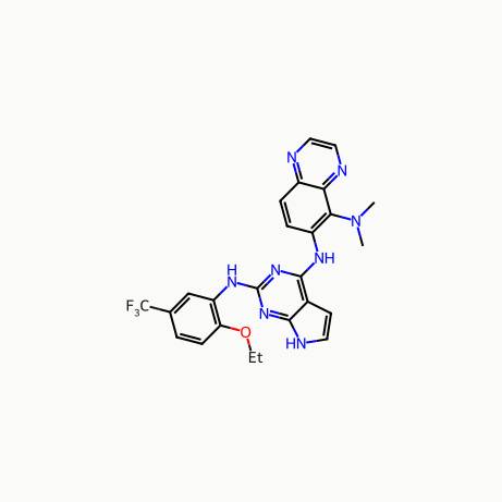 CCOc1ccc(C(F)(F)F)cc1Nc1nc(Nc2ccc3nccnc3c2N(C)C)c2cc[nH]c2n1